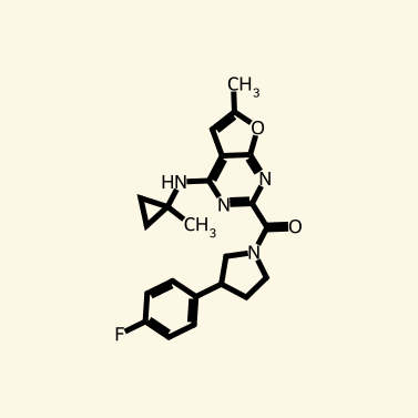 Cc1cc2c(NC3(C)CC3)nc(C(=O)N3CCC(c4ccc(F)cc4)C3)nc2o1